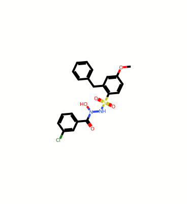 COc1ccc(S(=O)(=O)NN(O)C(=O)c2cccc(Cl)c2)c(Cc2ccccc2)c1